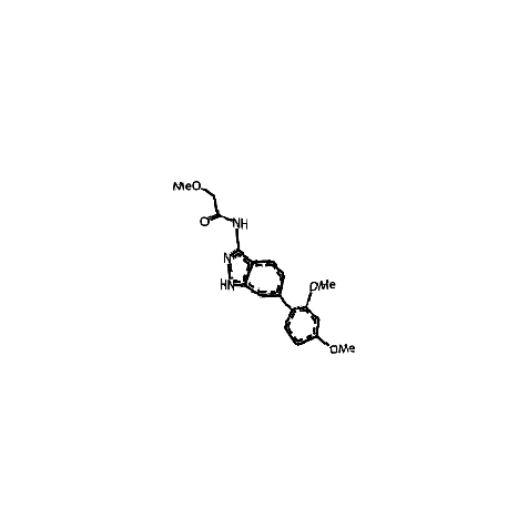 COCC(=O)Nc1n[nH]c2cc(-c3ccc(OC)cc3OC)ccc12